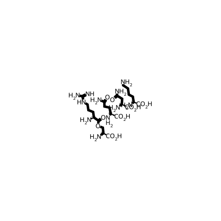 N=C(N)NCCC[C@H](N)C(=O)OC[C@H](N)C(=O)O.NC(=O)CC[C@H](N)C(=O)O.NC(=O)C[C@H](N)C(=O)O.NCCCC[C@H](N)C(=O)O